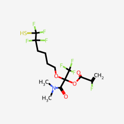 C=C(F)C(=O)OC(OCCCCC(F)(F)C(F)(F)S)(C(=O)N(C)C)C(F)(F)F